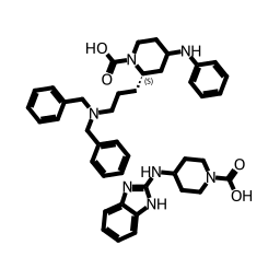 O=C(O)N1CCC(Nc2ccccc2)C[C@@H]1CCCN(Cc1ccccc1)Cc1ccccc1.O=C(O)N1CCC(Nc2nc3ccccc3[nH]2)CC1